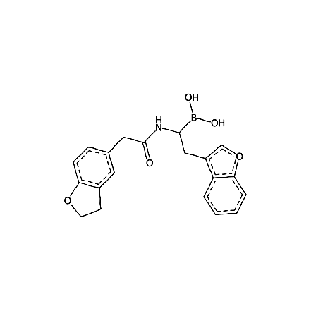 O=C(Cc1ccc2c(c1)CCO2)NC(Cc1coc2ccccc12)B(O)O